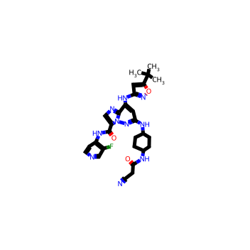 CC(C)(C)c1cc(Nc2cc(NC3CCC(NC(=O)CC#N)CC3)nn3c(C(=O)Nc4ccncc4F)cnc23)no1